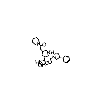 O=C(NO)[C@H]1CC(CC(=O)N2CCCCC2)CN[C@@H]1C(=O)N1CC[C@H](c2ccccc2)C1